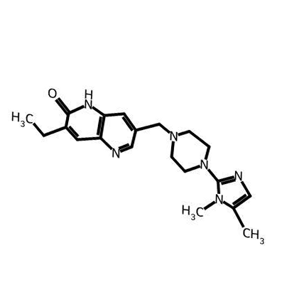 CCc1cc2ncc(CN3CCN(c4ncc(C)n4C)CC3)cc2[nH]c1=O